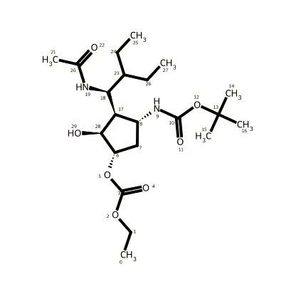 CCOC(=O)O[C@H]1C[C@@H](NC(=O)OC(C)(C)C)[C@H]([C@@H](NC(C)=O)C(CC)CC)[C@@H]1O